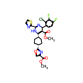 COC(=O)C1=C([C@H]2CC[C@@H](c3nc(C(=O)OC)co3)CC2)NC(c2nccs2)=NC1c1ccc(F)c(F)c1Cl